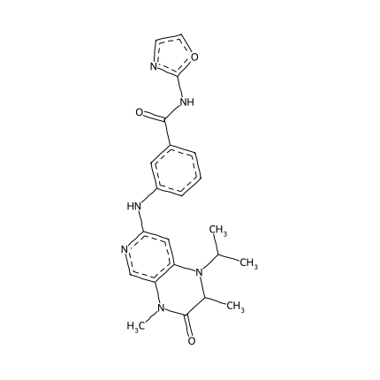 CC(C)N1c2cc(Nc3cccc(C(=O)Nc4ncco4)c3)ncc2N(C)C(=O)C1C